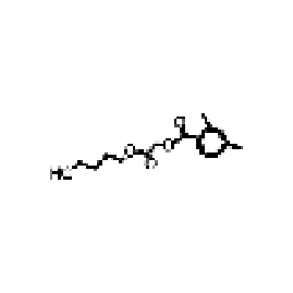 Cc1ccc(C(=O)OCC(=O)OCCCCO)c(C)c1